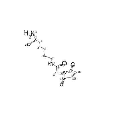 NC(=O)CCCCCNC(=O)CN1C(=O)C=CC1=O